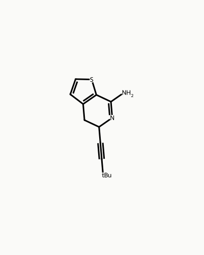 CC(C)(C)C#CC1Cc2ccsc2C(N)=N1